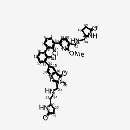 COc1nc(-c2cccc(-c3cccc(-c4cc5c(=O)n(C)c(CNCC[C@H]6CCC(=O)N6)nn5c4)c3Cl)c2Cl)ccc1CNC[C@H]1CCC(=O)N1